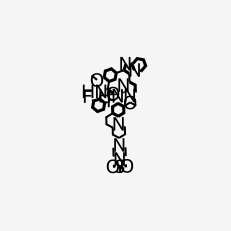 COc1cc2c(cc1Nc1nccc(-c3c(-c4ccc(OC)c(C(=O)Nc5c(F)cccc5F)c4)nc4ccccn34)n1)CCC1CC(N3CCN(S(C)(=O)=O)CC3)CCN21